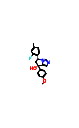 COc1ccc([C@@]2(O)C[C@H](c3ccc(C)cc3F)n3cncc32)cc1